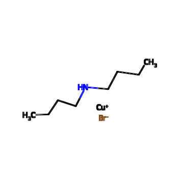 CCCCNCCCC.[Br-].[Cu+]